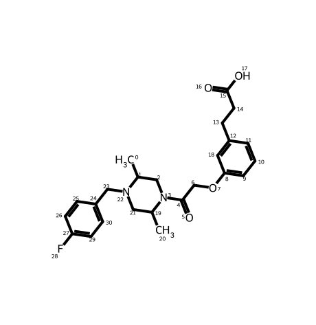 CC1CN(C(=O)COc2cccc(CCC(=O)O)c2)C(C)CN1Cc1ccc(F)cc1